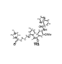 COc1cc(C(=O)N(C)c2ccc(C)cc2OCCCCC(=C=O)N2CCN(C)CC2)ccc1NC(=O)c1cccc2nccnc12.Cl.Cl